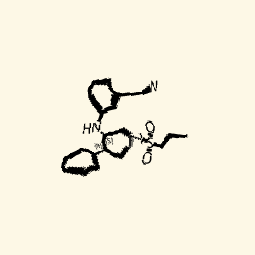 CCCS(=O)(=O)N1C[C@@H](Nc2cccc(C#N)c2)[C@H](c2ccccc2)C1